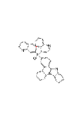 O=P(c1ccc2cccnc2c1)(c1ccc2c(c1)c1ccccc1n1c3ccccc3nc21)c1ccnc2ccccc12